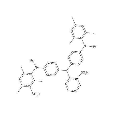 CCCN(c1ccc(C(c2ccc(N(CCC)c3c(C)cc(C)c(S(=O)(=O)O)c3C)cc2)c2ccccc2S(=O)(=O)O)cc1)c1c(C)cc(C)cc1C